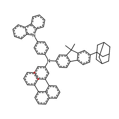 CC1(C)c2cc(N(c3ccc(-n4c5ccccc5c5ccccc54)cc3)c3cccc(-c4cccc5cccc(-c6ccccc6)c45)c3)ccc2-c2ccc(C34CC5CC(CC(C5)C3)C4)cc21